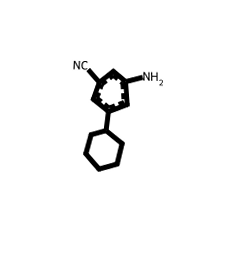 N#Cc1cc(N)cc(C2CCCCC2)c1